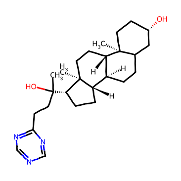 CC(O)(CCc1ncncn1)[C@H]1CC[C@H]2[C@@H]3CCC4C[C@@H](O)CC[C@]4(C)[C@H]3CC[C@]12C